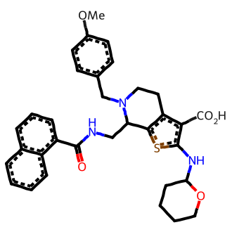 COc1ccc(CN2CCc3c(sc(NC4CCCCO4)c3C(=O)O)C2CNC(=O)c2cccc3ccccc23)cc1